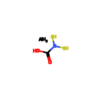 O=C(O)N(S)S.[AlH3]